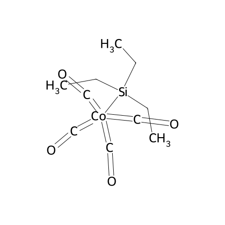 CC[Si](CC)(CC)[Co](=[C]=O)(=[C]=O)(=[C]=O)=[C]=O